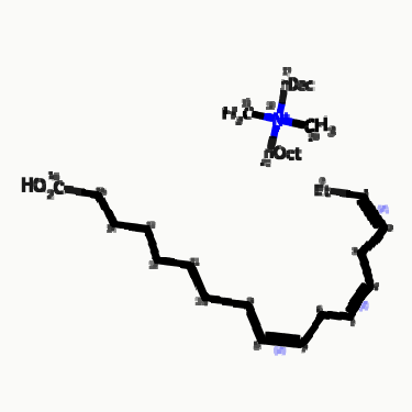 CC/C=C\C/C=C\C/C=C\CCCCCCCC(=O)O.CCCCCCCCCC[N+](C)(C)CCCCCCCC